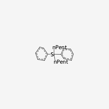 CCCCC[Si](CCCCC)(c1ccccc1)c1ccccc1